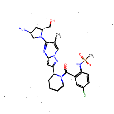 Cc1cn2nc([C@@H]3CCCCN3C(=O)c3cc(Cl)ccc3NS(C)(=O)=O)cc2nc1N1C[C@@H](N)C[C@H]1CO